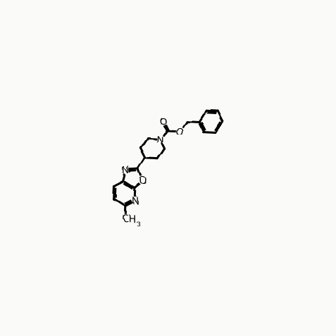 Cc1ccc2nc(C3CCN(C(=O)OCc4ccccc4)CC3)oc2n1